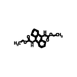 CCOC(=O)Nc1c2ccccc2c(NC(=O)OCC)c2ccccc12